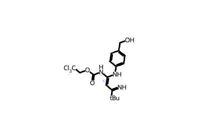 CC(C)(C)C(=N)/C=C(/NC(=O)OCC(Cl)(Cl)Cl)Nc1ccc(CO)cc1